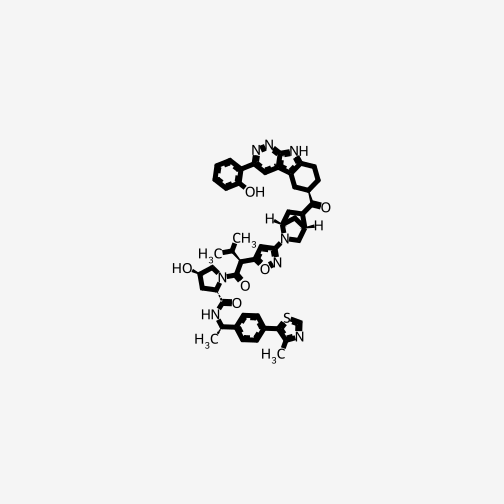 Cc1ncsc1-c1ccc([C@H](C)NC(=O)[C@@H]2C[C@@H](O)CN2C(=O)[C@H](c2cc(N3C[C@@H]4C[C@H]3CC4C(=O)[C@@H]3CCc4[nH]c5nnc(-c6ccccc6O)cc5c4C3)no2)C(C)C)cc1